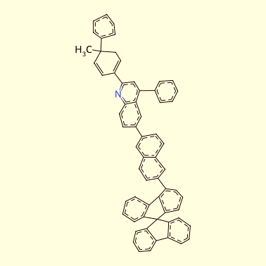 CC1(c2ccccc2)C=CC(c2cc(-c3ccccc3)c3cc(-c4ccc5cc(-c6cccc7c6-c6ccccc6C76c7ccccc7-c7ccccc76)ccc5c4)ccc3n2)=CC1